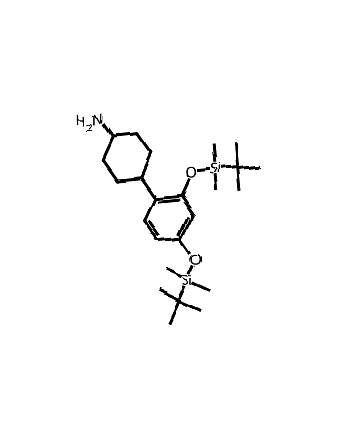 CC(C)(C)[Si](C)(C)Oc1ccc(C2CCC(N)CC2)c(O[Si](C)(C)C(C)(C)C)c1